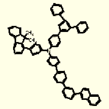 CC1(C)c2ccccc2-c2cccc(-c3ccc(N(c4ccc(-c5ccc(-c6cccc(-c7ccc8ccccc8c7)c6)cc5)cc4)c4ccc(-c5cc(-c6ccccc6)cc(-c6ccccc6)c5)cc4)cc3)c21